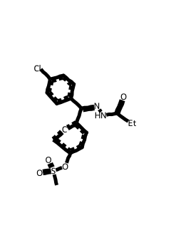 CCC(=O)NN=C(c1ccc(Cl)cc1)c1ccc(OS(C)(=O)=O)cc1